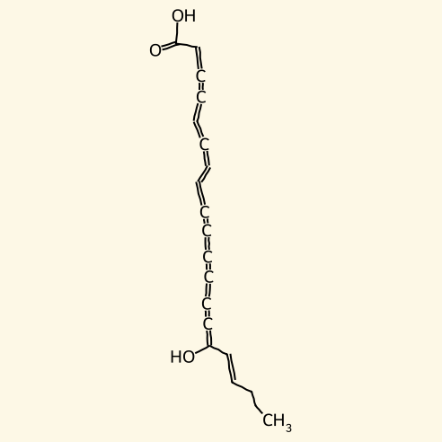 CCCC=CC(O)=C=C=C=C=C=C=C=C=C=C=C=C=CC(=O)O